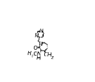 C=C1CCCN(Cc2ccncn2)C(=O)C1NC